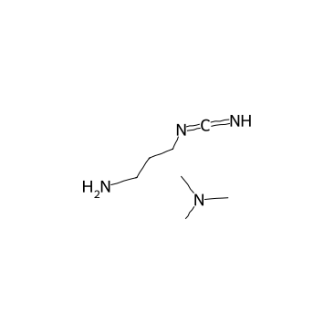 CN(C)C.N=C=NCCCN